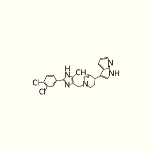 Cc1[nH]c(-c2ccc(Cl)c(Cl)c2)nc1CN1CCC(c2c[nH]c3ncccc23)CC1